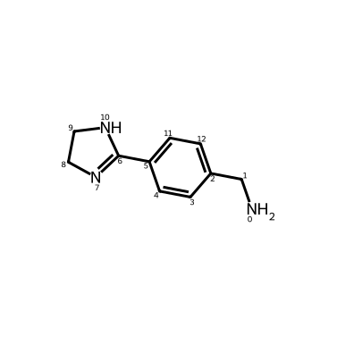 NCc1ccc(C2=NCCN2)cc1